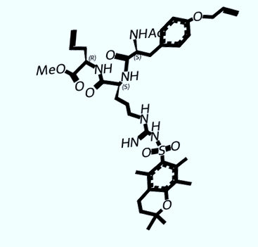 C=CCOc1ccc(C[C@H](NC(C)=O)C(=O)N[C@@H](CCCNC(=N)NS(=O)(=O)c2c(C)c(C)c3c(c2C)CCC(C)(C)O3)C(=O)N[C@H](CC=C)C(=O)OC)cc1